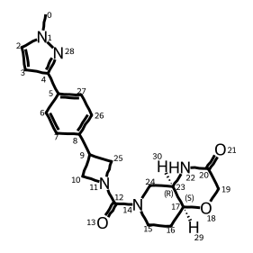 Cn1ccc(-c2ccc(C3CN(C(=O)N4CC[C@@H]5OCC(=O)N[C@@H]5C4)C3)cc2)n1